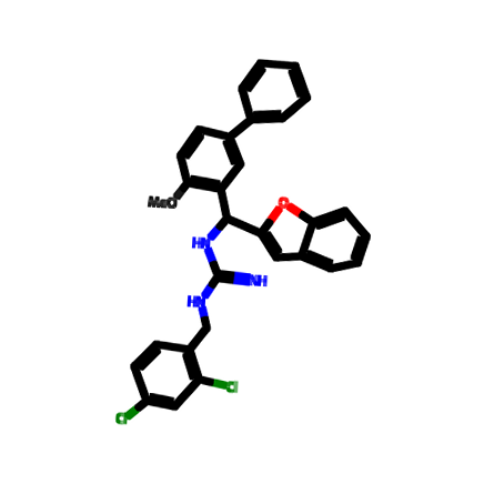 COc1ccc(-c2ccccc2)cc1C(NC(=N)NCc1ccc(Cl)cc1Cl)c1cc2ccccc2o1